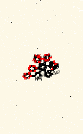 c1ccc(-c2ccccc2-c2c(-c3ccccc3)nnnc2-c2c(-c3ccccc3)c(-c3ccccc3)c(-c3ccccc3-c3ccccc3)c(-c3ccccc3-c3ccccc3)c2-c2cccc3[se]c4ccccc4c23)cc1